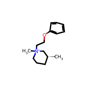 C[C@@H]1CCC[N+](C)(CCOc2ccccc2)C1